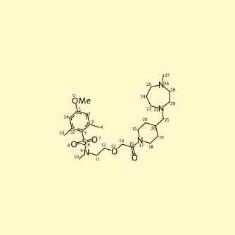 COc1cc(C)c(S(=O)(=O)N(C)CCOCC(=O)N2CCC(CN3CCCN(C)CC3)CC2)c(C)c1